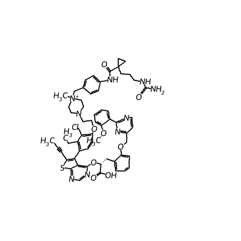 CC#Cc1sc2ncnc(O[C@H](Cc3ccccc3OCc3ccnc(-c4ccccc4OC)n3)C(=O)O)c2c1-c1ccc(OCCN2CC[N+](C)(Cc3ccc(NC(=O)C4(CCCNC(N)=O)CC4)cc3)CC2)c(Cl)c1CC